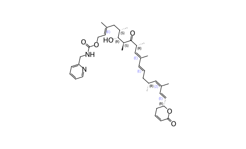 CC(=C/[C@H](C)C/C=C/C(C)=C/[C@@H](C)C(=O)[C@@H](C)[C@H](O)[C@@H](C)C/C(C)=C/COC(=O)NCc1ccccn1)/C=C/[C@H]1CC=CC(=O)O1